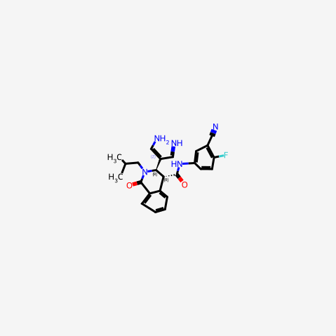 CC(C)CN1C(=O)c2ccccc2[C@@H](C(=O)Nc2ccc(F)c(C#N)c2)[C@@H]1/C(C=N)=C/N